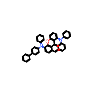 c1ccc(-c2ccc(N(c3ccccc3)c3ccc4cccc5c4c3Oc3cccc(N(c4ccccc4)c4ccccc4)c3-5)cc2)cc1